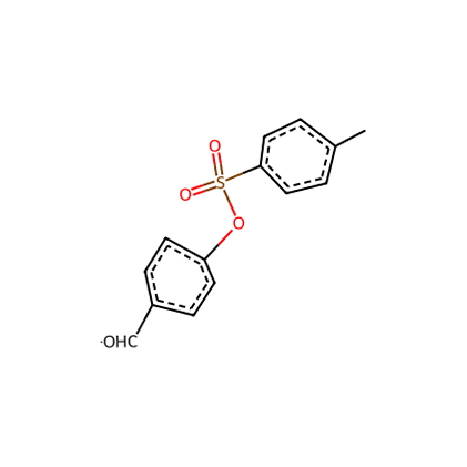 Cc1ccc(S(=O)(=O)Oc2ccc([C]=O)cc2)cc1